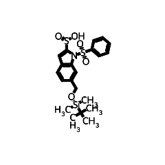 CC(C)(C)[Si](C)(C)OCc1ccc2cc(S(=O)O)n(S(=O)(=O)c3ccccc3)c2c1